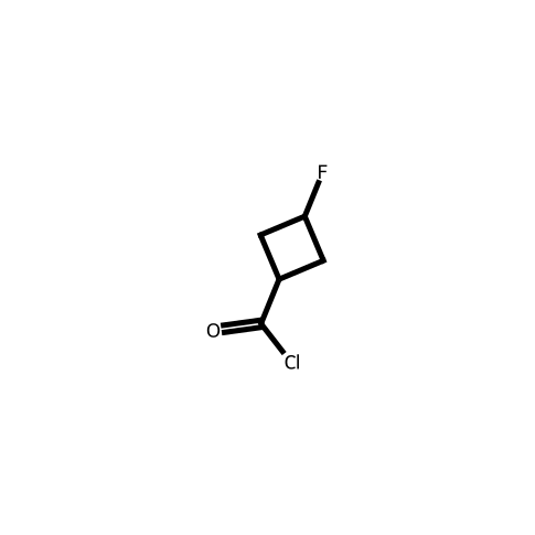 O=C(Cl)C1CC(F)C1